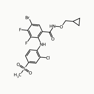 CS(=O)(=O)c1ccc(Nc2c(C(=O)NOCC3CC3)cc(Br)c(F)c2F)c(Cl)c1